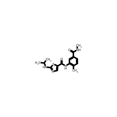 CNC(=O)c1ccc(C)c(NC(=O)c2cnc(NC(C)C)s2)c1